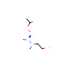 CC(Cl)O/N=[N+](\O)N(C)CCO